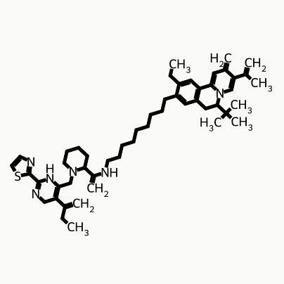 C=C(C)C1=CN2C(=CC1=C)c1cc(CC)c(CCCCCCCCCNC(=C)C3CCCCN3CC3=C(C(=C)CC)CN=C(c4nccs4)N3)cc1CC2C(C)(C)C